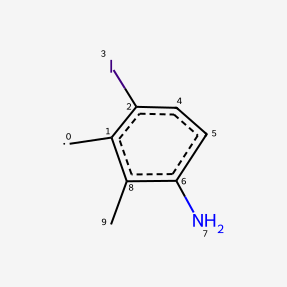 [CH2]c1c(I)ccc(N)c1C